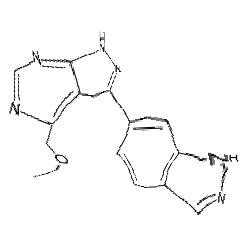 COc1ncnc2[nH]nc(-c3ccc4cn[nH]c4c3)c12